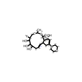 CC1CCC(F)C(O)C(O)C(O)C/C=C/C2CC(N3CCOCC3)=C[C@@H](O)C2C(O)O1